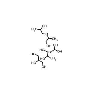 CC(O)CO.CC(O)COC(C)CO.CCCC(O)O.OCC(O)CO